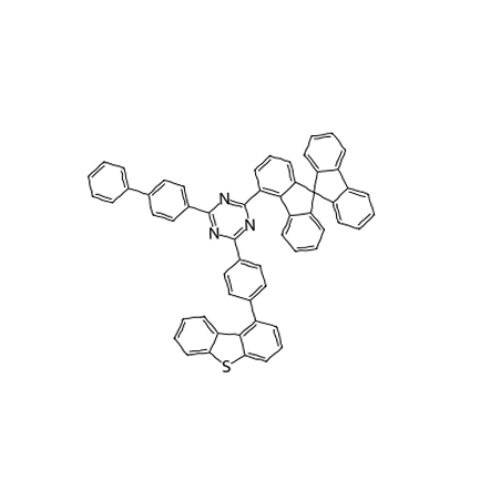 c1ccc(-c2ccc(-c3nc(-c4ccc(-c5cccc6sc7ccccc7c56)cc4)nc(-c4cccc5c4-c4ccccc4C54c5ccccc5-c5ccccc54)n3)cc2)cc1